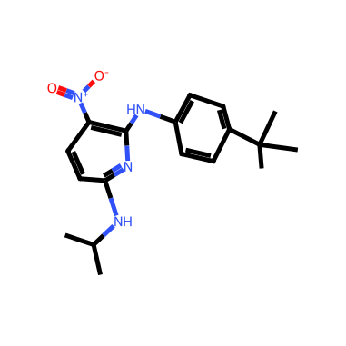 CC(C)Nc1ccc([N+](=O)[O-])c(Nc2ccc(C(C)(C)C)cc2)n1